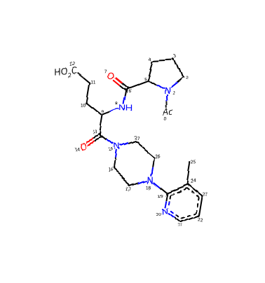 CC(=O)N1CCCC1C(=O)NC(CCC(=O)O)C(=O)N1CCN(c2ncccc2C)CC1